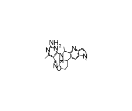 Cc1nc(N)nc(NC(C)c2nc3ccn(C)c3cc2C2CCOCC2)c1C#N